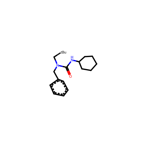 CC(C)(C)CN(Cc1ccccc1)C(=O)NC1CCCCC1